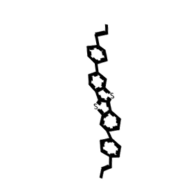 CC=Cc1ccc(-c2ccc3c(c2)sc2c4ccc(-c5ccc(C=CC)cc5)cc4sc32)cc1